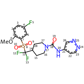 COc1ccc(F)cc1S(=O)(=O)C(F)(F)C1CCN(C(=O)Nc2ccnnc2)CC1